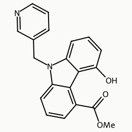 COC(=O)c1cccc2c1c1c(O)cccc1n2Cc1cccnc1